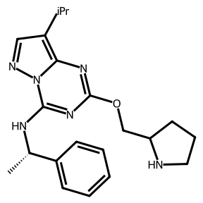 CC(C)c1cnn2c(N[C@@H](C)c3ccccc3)nc(OCC3CCCN3)nc12